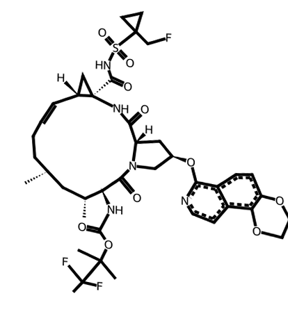 C[C@@H]1CC/C=C\[C@@H]2C[C@@]2(C(=O)NS(=O)(=O)C2(CF)CC2)NC(=O)[C@@H]2C[C@@H](Oc3nccc4c5c(ccc34)OCCO5)CN2C(=O)[C@@H](NC(=O)OC(C)(C)C(C)(F)F)[C@H](C)C1